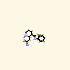 CN1CCCC(c2nc3ccccc3s2)C1CC(N)=O